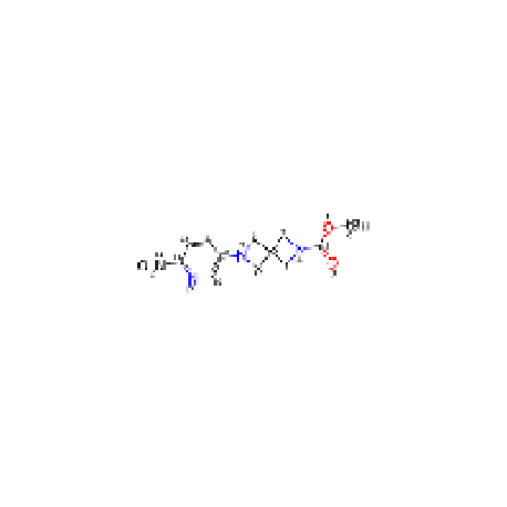 CC(C)(C)OC(=O)N1CC2(C1)CN(c1ccc([N+](=O)[O-])nc1)C2